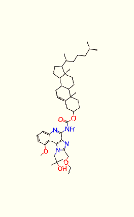 CCOCc1nc2c(NC(=O)OC3CCC4(C)C(=CCC5C4CCC4(C)C(C(C)CCCC(C)C)CCC54)C3)nc3cccc(OC)c3c2n1CC(C)(C)O